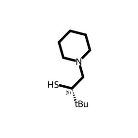 CC(C)(C)[C@H](S)CN1CCCCC1